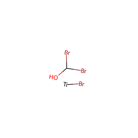 OC(Br)Br.[Ti][Br]